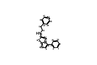 c1ccc(-c2cnc3sc(NCCc4ccncc4)nn23)cc1